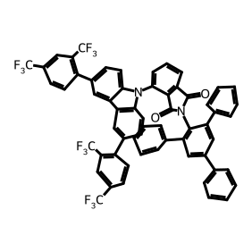 O=C1c2cccc(-n3c4ccc(-c5ccc(C(F)(F)F)cc5C(F)(F)F)cc4c4cc(-c5ccc(C(F)(F)F)cc5C(F)(F)F)ccc43)c2C(=O)N1c1c(-c2ccccc2)cc(-c2ccccc2)cc1-c1ccccc1